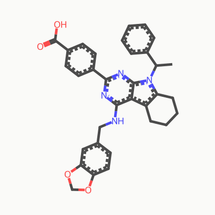 CC(c1ccccc1)n1c2c(c3c(NCc4ccc5c(c4)OCO5)nc(-c4ccc(C(=O)O)cc4)nc31)CCCC2